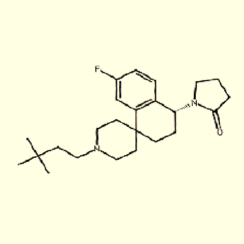 CC(C)(C)CCN1CCC2(CC[C@@H](N3CCCC3=O)c3ccc(F)cc32)CC1